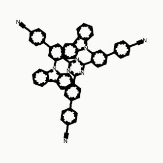 N#Cc1ccc(-c2ccc(-c3nc(-c4ccc(-c5ccc(C#N)cc5)cc4-n4c5ccccc5c5ccccc54)nc(-c4ccc(-c5ccc(C#N)cc5)cc4-n4c5ccccc5c5ccccc54)n3)cc2)cc1